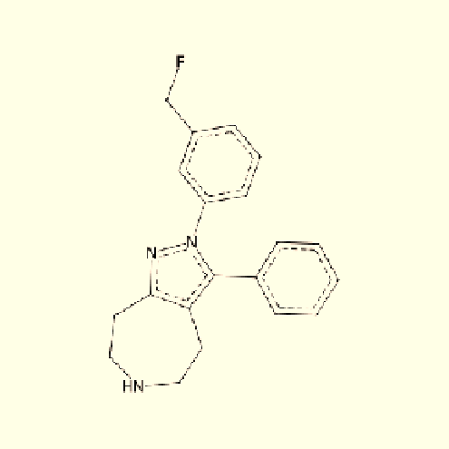 FCc1cccc(-n2nc3c(c2-c2ccccc2)CCNCC3)c1